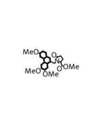 COC(=O)C1CCC(=O)N1Cc1cc2ccc(OC)cc2c2cc(OC)c(OC)cc12